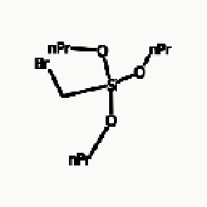 CCCO[Si](CBr)(OCCC)OCCC